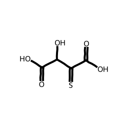 O=C(O)C(=S)C(O)C(=O)O